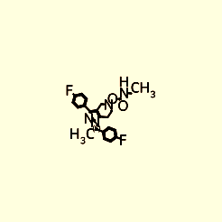 CCNC(=O)ON1CCc2c(c(-c3ccc(F)cc3)nn2[C@@H](C)c2ccc(F)cc2)C1